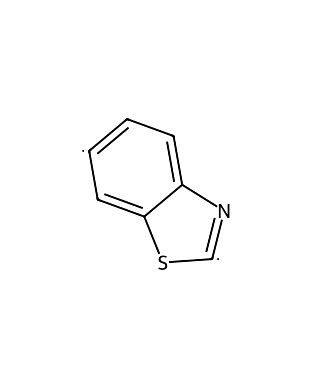 [c]1ccc2n[c]sc2c1